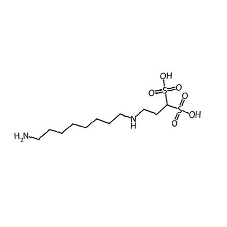 NCCCCCCCCNCCC(S(=O)(=O)O)S(=O)(=O)O